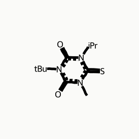 CC(C)n1c(=S)n(C)c(=O)n(C(C)(C)C)c1=O